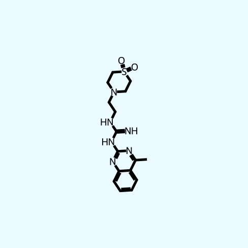 Cc1nc(NC(=N)NCCN2CCS(=O)(=O)CC2)nc2ccccc12